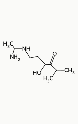 CC(N)NCCC(O)C(=O)C(C)C